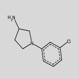 NC1CCN(c2cccc(Cl)c2)C1